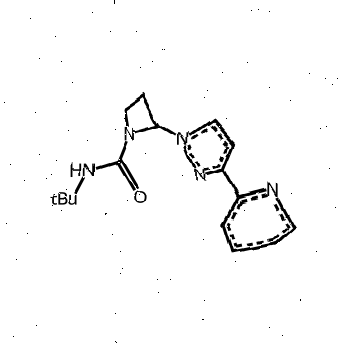 CC(C)(C)NC(=O)N1CCC1n1ccc(-c2ccccn2)n1